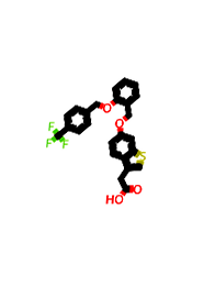 O=C(O)Cc1csc2cc(OCc3ccccc3OCc3ccc(C(F)(F)F)cc3)ccc12